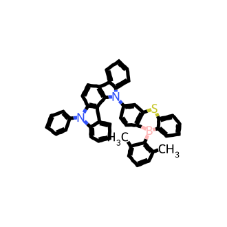 Cc1cccc(C)c1B1c2ccccc2Sc2cc(-n3c4ccccc4c4ccc5c(c6ccccc6n5-c5ccccc5)c43)ccc21